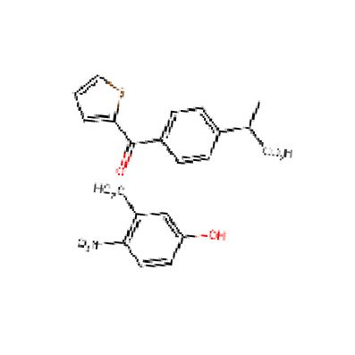 CC(C(=O)O)c1ccc(C(=O)c2cccs2)cc1.O=C(O)c1cc(O)ccc1[N+](=O)[O-]